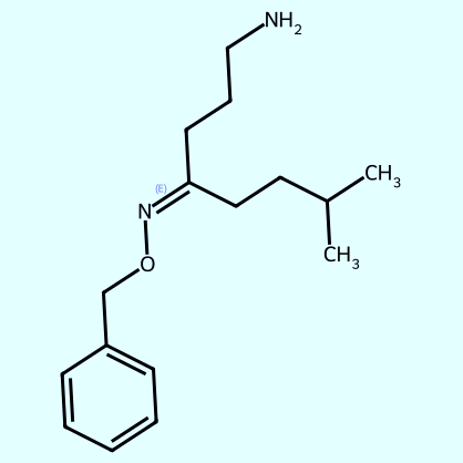 CC(C)CC/C(CCCN)=N\OCc1ccccc1